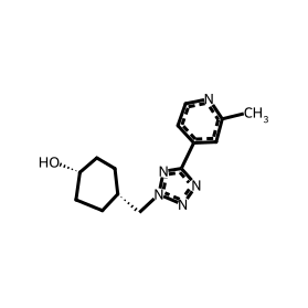 Cc1cc(-c2nnn(C[C@H]3CC[C@@H](O)CC3)n2)ccn1